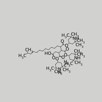 CC(C)CCCCCCCCCCC(C(=O)OC1CC(C)(C)NC(C)(C)C1)C(C(=O)OC1CC(C)(C)NC(C)(C)C1)C(CC(=O)O)C(=O)OC1CC(C)(C)NC(C)(C)C1